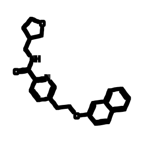 O=C(NCC1CCOC1)c1ccc(CCOc2ccc3ccccc3c2)cn1